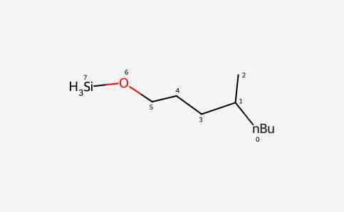 CCCCC(C)CCCO[SiH3]